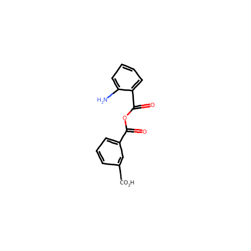 Nc1ccccc1C(=O)OC(=O)c1cccc(C(=O)O)c1